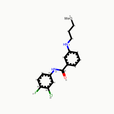 COCCCNc1cccc(C(=O)Nc2ccc(F)c(Cl)c2)c1